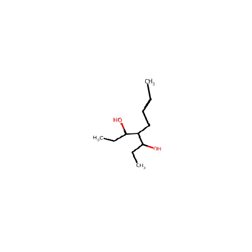 CCCCC(C(O)CC)C(O)CC